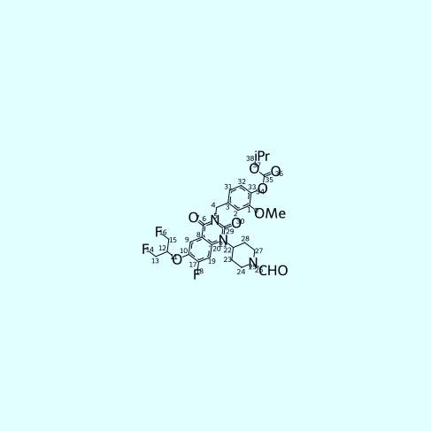 COc1cc(Cn2c(=O)c3cc(OC(CF)CF)c(F)cc3n(C3CCN(C=O)CC3)c2=O)ccc1OC(=O)OC(C)C